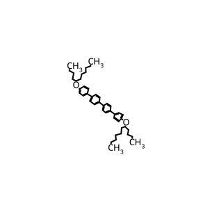 CCCCCCC(CCCC)Oc1ccc(-c2ccc(-c3ccc(-c4ccc(OC(CCCC)CCCCCC)cc4)cc3)cc2)cc1